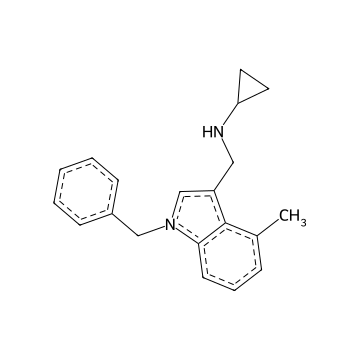 Cc1cccc2c1c(CNC1CC1)cn2Cc1ccccc1